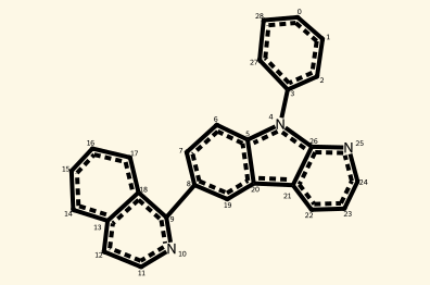 c1ccc(-n2c3ccc(-c4nccc5ccccc45)cc3c3cccnc32)cc1